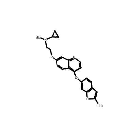 Cc1cc2ccc(Oc3ccnc4cc(OCCN(C5CC5)C(C)(C)C)ccc34)cc2o1